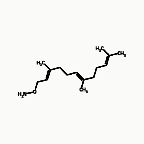 CC(C)=CCCC(C)=CCCC(C)=CCON